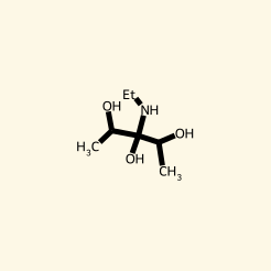 CCNC(O)(C(C)O)C(C)O